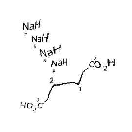 O=C(O)CCC(=O)O.[NaH].[NaH].[NaH].[NaH]